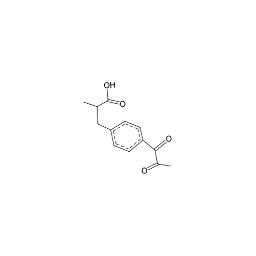 CC(=O)C(=O)c1ccc(CC(C)C(=O)O)cc1